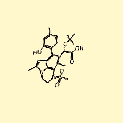 Cc1ccc(-c2c([C@H](OC(C)(C)C)C(=O)O)c(C)c3c4c2cc(C)n4CCN3S(C)(=O)=O)c(O)c1